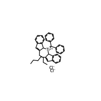 CCCCC1=Cc2ccccc2[CH]1[Ti+2](=[C](c1ccccc1)c1ccccc1)[CH]1C(CCCC)=Cc2ccccc21.[Cl-].[Cl-]